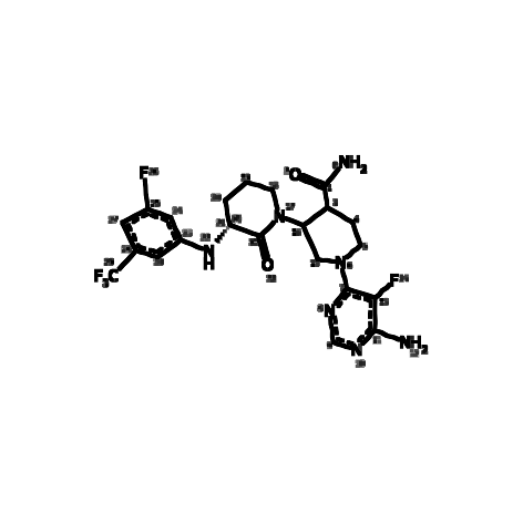 NC(=O)C1CCN(c2ncnc(N)c2F)CC1N1CCC[C@@H](Nc2cc(F)cc(C(F)(F)F)c2)C1=O